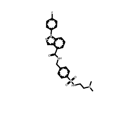 CN(C)CCNS(=O)(=O)c1ccc(CNC(=O)c2cccc3c2cnn3-c2ccc(F)cc2)cc1